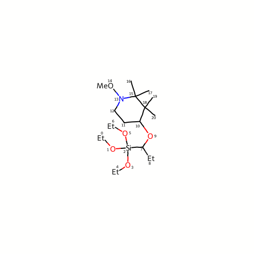 CCO[Si](OCC)(OCC)C(CC)OC1CCN(OC)C(C)(C)C1(C)C